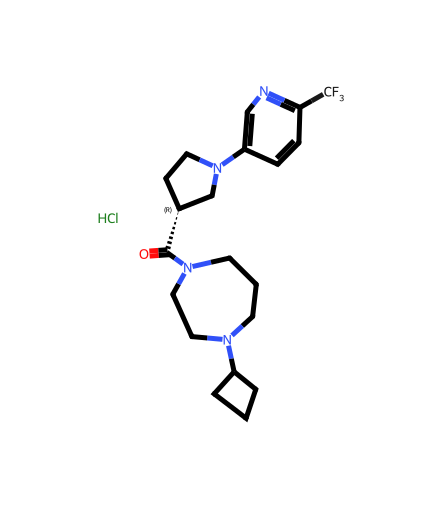 Cl.O=C([C@@H]1CCN(c2ccc(C(F)(F)F)nc2)C1)N1CCCN(C2CCC2)CC1